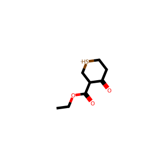 CCOC(=O)C1C[SH]CCC1=O